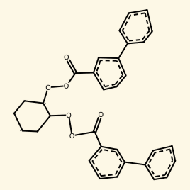 O=C(OO[C]1CC[CH]CC1OOC(=O)c1cccc(-c2ccccc2)c1)c1cccc(-c2ccccc2)c1